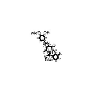 CCOc1cc(-c2nc(C(=O)NCc3c(F)cccc3F)c(C(C)NC(=O)OC(C)(C)C)o2)ccc1OC